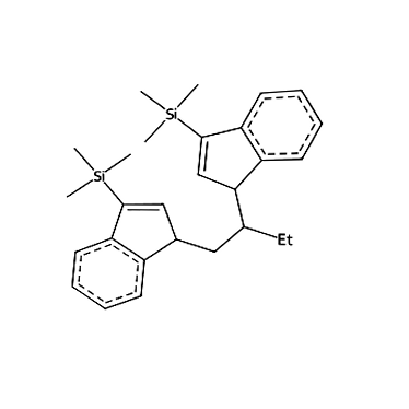 CCC(CC1C=C([Si](C)(C)C)c2ccccc21)C1C=C([Si](C)(C)C)c2ccccc21